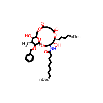 CCCCCCCCCCCCCCCCCC(=O)N[C@H]1CO[C@@H]2OC(COC(=O)CCC(=O)O[C@H](CCCCCCCCCCCCCC)[C@H]1O)[C@@H](O)[C@H](C)C2OCc1ccccc1